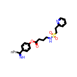 CCCC(=N)c1ccc(OC(=O)CCCNS(=O)(=O)CCc2ccccn2)cc1